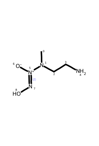 CN(CCN)/[N+]([O-])=N/O